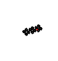 c1ccc([Si](c2ccccc2)(c2ccccc2)c2cccc(-c3cccc([Si](c4ccccc4)(c4ccccc4)c4cccc(-c5cccc([Si](c6ccccc6)(c6ccccc6)c6ccccc6)c5)c4)c3)c2)cc1